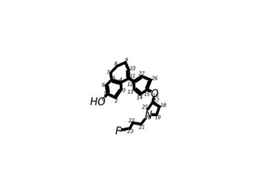 Oc1ccc2c(c1)CCCC=C2c1ccc(OC2CCN(CCCF)C2)cc1